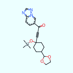 C[Si](C)(C)OC1(C#CC(=O)c2ccc3ncnn3c2)CCC(C2OCCO2)CC1